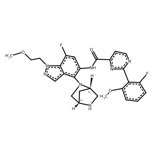 COCCn1ncc2c(N3C[C@@H]4C[C@H]3CN4)c(NC(=O)c3ccnc(-c4c(F)cccc4OC)n3)cc(F)c21